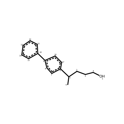 CC(CCCO)c1ccc(-c2ccccc2)cc1